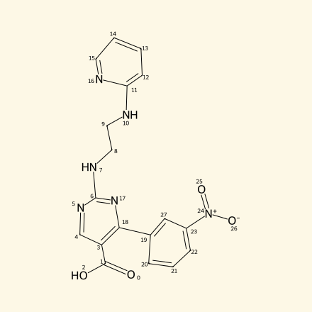 O=C(O)c1cnc(NCCNc2ccccn2)nc1-c1cccc([N+](=O)[O-])c1